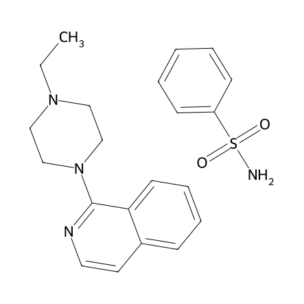 CCN1CCN(c2nccc3ccccc23)CC1.NS(=O)(=O)c1ccccc1